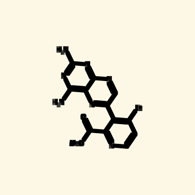 CCc1ccnc(C(=O)OC)c1-c1cnc2nc(N)nc(N)c2n1